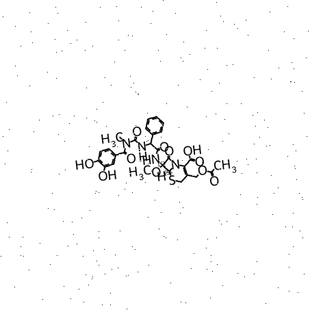 CO[C@@]1(NC(=O)C(NC(=O)N(C)C(=O)c2ccc(O)c(O)c2)c2ccccc2)C(=O)N2C(C(=O)O)=C(COC(C)=O)CS[C@H]21